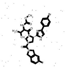 COC(=O)NC(C(=O)N1CN(C(=O)N2Cc3ccc(F)cc3C2)C[C@H]1c1nc(-c2ccc(Br)cc2)c[nH]1)C(C)C